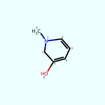 CN1C=CC=C(O)C1